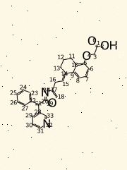 O=C(O)COc1cccc2c1CCCC2=CCc1coc(C(c2ccccc2)c2cccnc2)n1